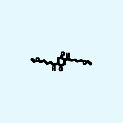 C=COCCCCNC1=CC(=O)C(NCCCCOC=C)=CC1=O